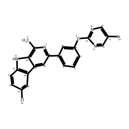 Cc1nc(-c2cccc(Oc3ncc(Br)cn3)c2)cc2c1[nH]c1ccc(Cl)cc12